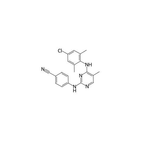 Cc1cnc(Nc2ccc(C#N)cc2)nc1Nc1c(C)cc(Cl)cc1C